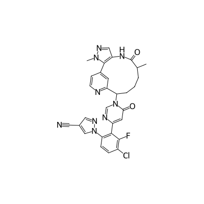 CC1CCCC(n2cnc(-c3c(-n4cc(C#N)cn4)ccc(Cl)c3F)cc2=O)c2cc(ccn2)-c2c(cnn2C)NC1=O